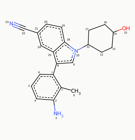 Cc1c(N)cccc1-c1cn(C2CCC(O)CC2)c2ccc(C#N)cc12